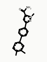 Cc1ccc(-c2ccc(-c3cc(C(N)=O)n(C)n3)cc2)cc1C